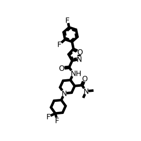 CN(C)C(=O)C1CN(C2CCC(F)(F)CC2)CCC1NC(=O)c1cc(-c2ccc(F)cc2F)on1